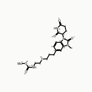 Cn1c(=O)n(C2CCC(=O)NC2=O)c2ccc(CCCOCCNC(=O)OC(C)(C)C)cc21